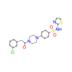 O=C(Cc1cccc(Cl)c1)N1CCN(c2ccc(S(=O)(=O)Nc3nccs3)cc2)CC1